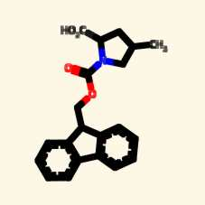 CC1CC(C(=O)O)N(C(=O)OCC2c3ccccc3-c3ccccc32)C1